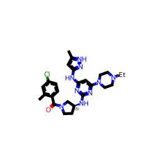 CCN1CCN(c2cc(Nc3cc(C)[nH]n3)nc(N[C@H]3CCN(C(=O)c4ccc(Cl)cc4C)C3)n2)CC1